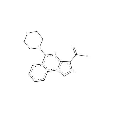 NC(=O)c1ncn2c1nc(N1CCOCC1)c1ccccc12